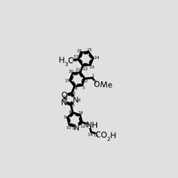 COCc1cc(-c2nc(-c3ccnc(NCC(=O)O)c3)no2)ccc1-c1ccccc1C